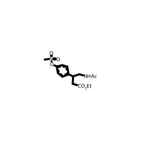 CCOC(=O)CC(CNC(C)=O)c1ccc(OS(C)(=O)=O)cc1